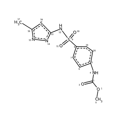 COC(=O)Nc1ccc(S(=O)(=O)Nc2nnc(C)s2)cc1